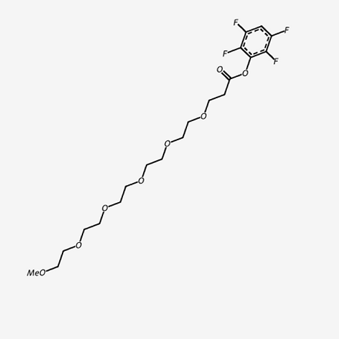 COCCOCCOCCOCCOCCOCCC(=O)Oc1c(F)c(F)cc(F)c1F